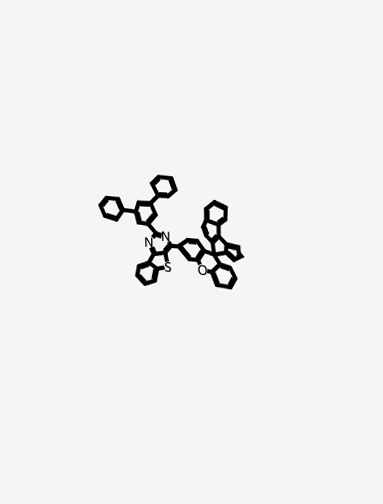 c1ccc(-c2cc(-c3ccccc3)cc(-c3nc(-c4ccc5c(c4)Oc4ccccc4C54c5ccccc5-c5c4ccc4ccccc54)c4sc5ccccc5c4n3)c2)cc1